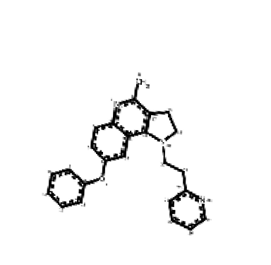 Cc1nc2ccc(Oc3ccccc3)cc2c2c1CCN2CCc1ccccn1